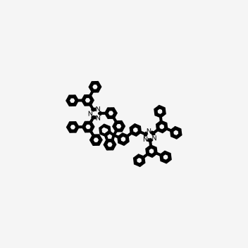 C1=CC2=C(CC1)c1ccccc1C2(c1cccc(-c2cccc(-c3nc(-c4cc(-c5ccccc5)cc(-c5ccccc5)c4)nc(-c4cc(-c5ccccc5)cc(-c5ccccc5)c4)n3)c2)c1)c1cccc(-c2cccc(-c3nc(-c4cc(-c5ccccc5)cc(-c5ccccc5)c4)nc(-c4cc(-c5ccccc5)cc(-c5ccccc5)c4)n3)c2)c1